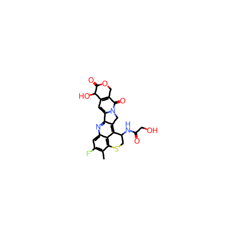 Cc1c(F)cc2nc3c(c4c2c1SCC4NC(=O)CO)Cn1c-3cc2c(c1=O)COC(=O)C2O